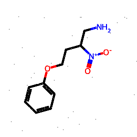 NCC(CCOc1ccccc1)[N+](=O)[O-]